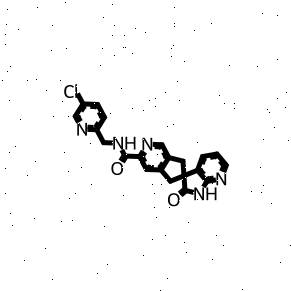 O=C(NCc1ccc(Cl)cn1)c1cc2c(cn1)CC1(C2)C(=O)Nc2ncccc21